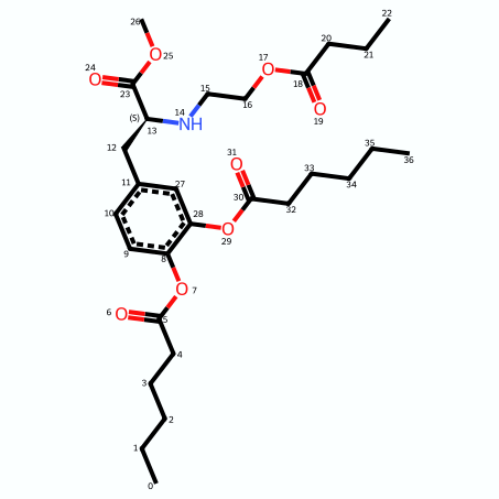 CCCCCC(=O)Oc1ccc(C[C@H](NCCOC(=O)CCC)C(=O)OC)cc1OC(=O)CCCCC